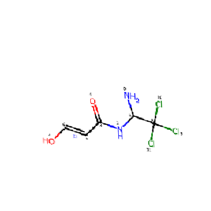 NC(NC(=O)/C=C/O)C(Cl)(Cl)Cl